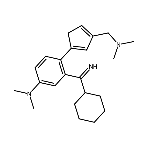 CN(C)CC1=CCC(c2ccc(N(C)C)cc2C(=N)C2CCCCC2)=C1